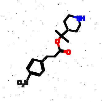 CC(C)(OC(=O)CCc1ccc([N+](=O)[O-])cc1)C1CCNCC1